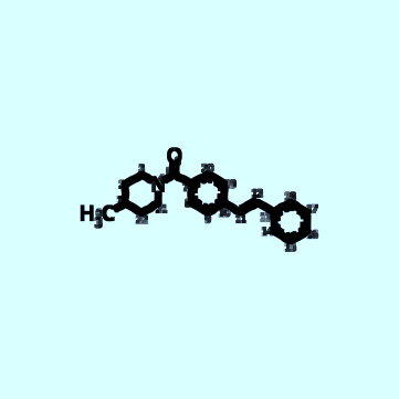 CC1CCN(C(=O)c2ccc(/C=C/c3ccccc3)cc2)CC1